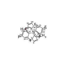 CC1=[C]([Ti]([C]2=C(C)C=CC2)([c]2c(F)cc(F)cc2F)[c]2c(F)cc(F)cc2F)CC=C1